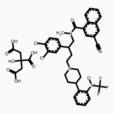 CN(CC(CCN1CCC(c2ccccc2[S+]([O-])C(F)(F)F)CC1)c1ccc(Cl)c(Cl)c1)C(=O)c1cc(C#N)cc2ccccc12.O=C(O)CC(O)(CC(=O)O)C(=O)O